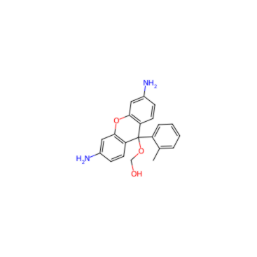 Cc1ccccc1C1(OCO)c2ccc(N)cc2Oc2cc(N)ccc21